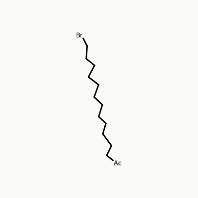 CC(=O)CCCCCCCCCCCCBr